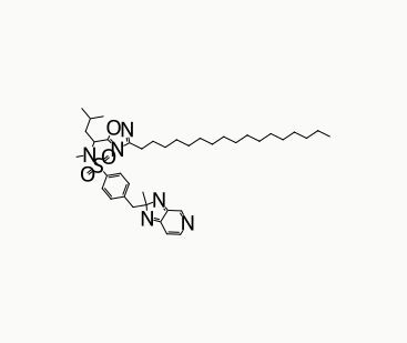 CCCCCCCCCCCCCCCCCc1noc(C(CC(C)C)N(C)S(=O)(=O)c2ccc(CC3(C)N=c4ccncc4=N3)cc2)n1